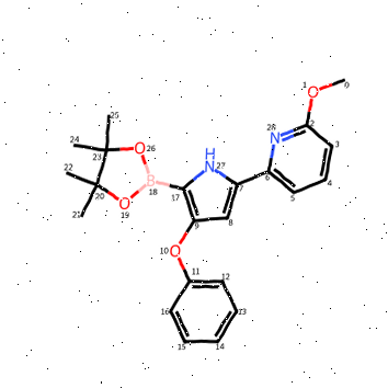 COc1cccc(-c2cc(Oc3ccccc3)c(B3OC(C)(C)C(C)(C)O3)[nH]2)n1